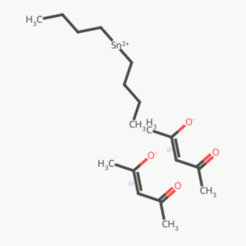 CC(=O)/C=C(/C)[O-].CC(=O)/C=C(/C)[O-].CCC[CH2][Sn+2][CH2]CCC